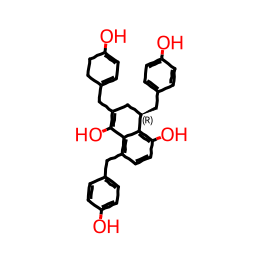 OC1=CC=C(CC2=C(O)c3c(Cc4ccc(O)cc4)ccc(O)c3[C@H](Cc3ccc(O)cc3)C2)CC1